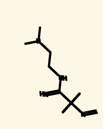 C=NC(C)(C)C(=N)NCCN(C)C